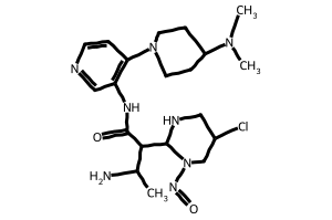 CC(N)C(C(=O)Nc1cnccc1N1CCC(N(C)C)CC1)C1NCC(Cl)CN1N=O